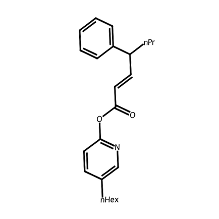 CCCCCCc1ccc(OC(=O)/C=C/C(CCC)c2ccccc2)nc1